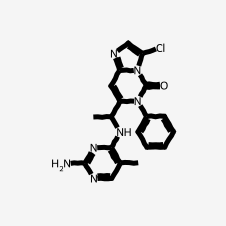 Cc1cnc(N)nc1NC(C)c1cc2ncc(Cl)n2c(=O)n1-c1ccccc1